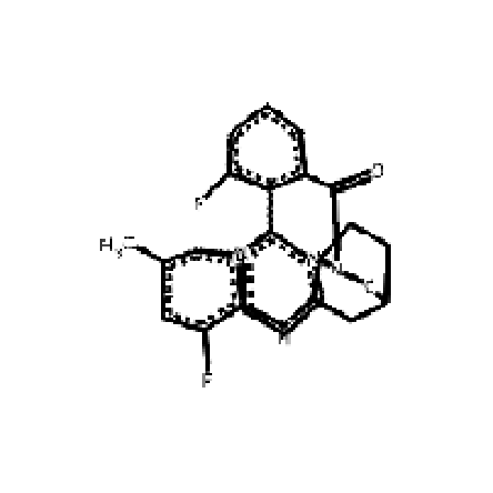 Cc1cnc(NC2CC3CCC2N(C(=O)c2cccc(F)c2-c2ncccn2)C3)c(F)c1